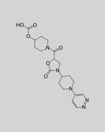 O=C(O)OC1CCN(C(=O)C2CN(C3CCN(c4ccnnc4)CC3)C(=O)O2)CC1